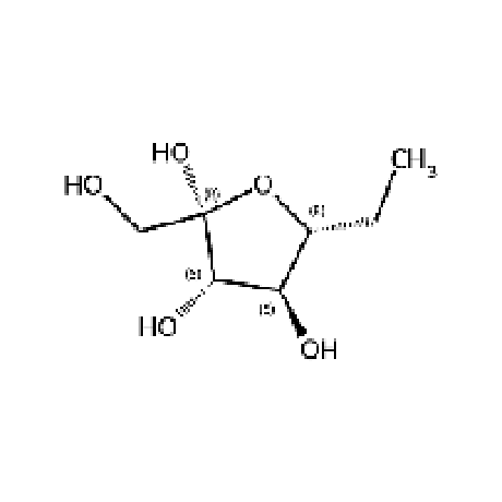 CC[C@H]1O[C@](O)(CO)[C@@H](O)[C@@H]1O